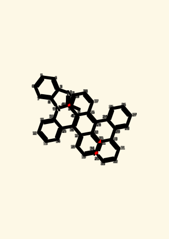 Cc1nc2ccccc2n1-c1ccccc1-c1c2ccccc2c(-c2ccccc2-c2cccnc2)c2ccccc12